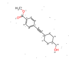 COC(=O)c1ccc(C#CC2CCC(CO)CC2)cc1